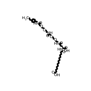 CCCc1ccc(CNC(=O)COCCOCCNC(=O)COCCOCCNC(=O)CC[C@H](NC(=O)CCCCCCCCCCCCCCC(=O)O)C(=O)O)cc1